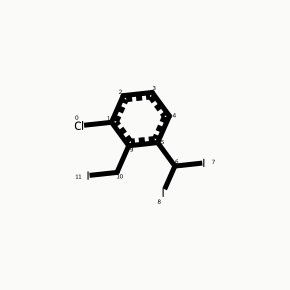 Clc1cccc(C(I)I)c1CI